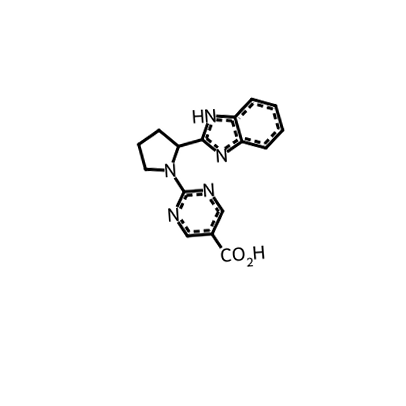 O=C(O)c1cnc(N2CCCC2c2nc3ccccc3[nH]2)nc1